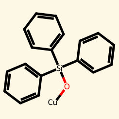 [Cu][O][Si](c1ccccc1)(c1ccccc1)c1ccccc1